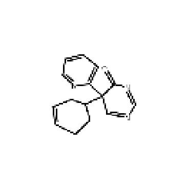 O=C1N=CN=CC1(c1ccccn1)C1CC=CCC1